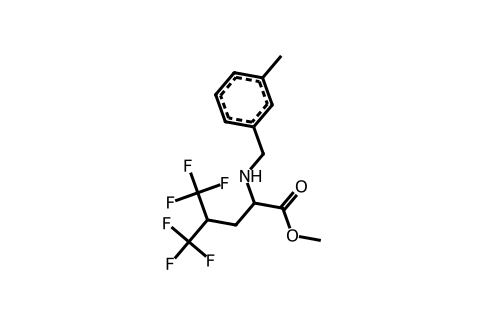 COC(=O)C(CC(C(F)(F)F)C(F)(F)F)NCc1cccc(C)c1